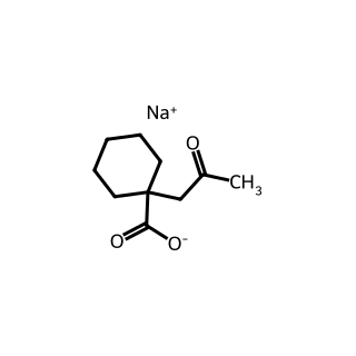 CC(=O)CC1(C(=O)[O-])CCCCC1.[Na+]